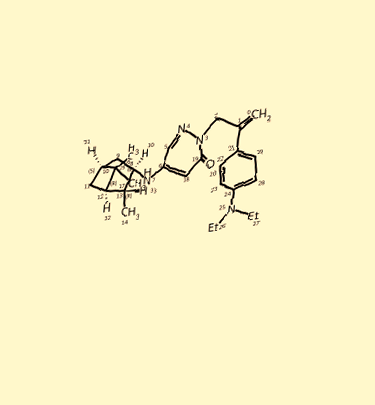 C=C(Cn1ncc(N[C@@H]2C[C@@H]3C[C@H]([C@H]2C)C3(C)C)cc1=O)c1ccc(N(CC)CC)cc1